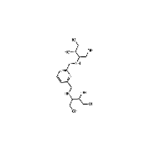 OCC(O)C(CO)NCc1cccc(CNC(CO)C(O)CO)n1